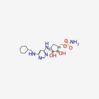 NS(=O)(=O)OC[C@H]1C[C@@H](Nc2cc(NCC3CCCCC3)ncn2)[C@H](O)[C@@H]1O